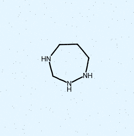 C1CNCNNC1